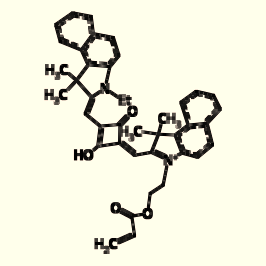 C=CC(=O)OCC[N+]1=C(C=C2C(=O)C(C=C3N(CC)c4ccc5ccccc5c4C3(C)C)=C2O)C(C)(C)c2c1ccc1ccccc21